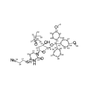 COc1ccc(C(OC[C@H]2O[C@@H](n3ccc(=[SH]CCC#N)[nH]c3=O)[C@H](O[Si](C)(C)C(C)(C)C)[C@H]2O)(c2ccccc2)c2ccc(OC)cc2)cc1